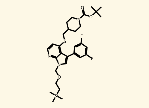 CC(C)(C)OC(=O)N1CCC(CSc2ccnc3c2c(-c2cc(F)cc(F)c2)cn3COCC[Si](C)(C)C)CC1